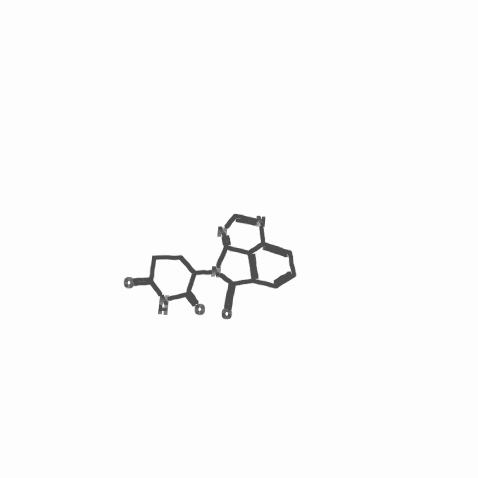 O=C1CCC(N2C(=O)c3cccc4ncnc2c34)C(=O)N1